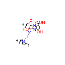 Cc1c(O)c(C=NCCCCCN(C)C)c2nc3c(O)ccc(C(=O)O)c3nc2c1O